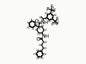 CC(NC(=O)C1(c2ccccc2)CCC(NC(=O)CCCc2ccccc2)CC1)c1cc(C(F)(F)F)cc(C(F)(F)F)c1